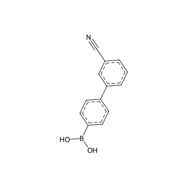 N#Cc1cccc(-c2ccc(B(O)O)cc2)c1